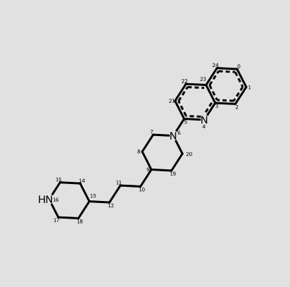 c1ccc2nc(N3CCC(CCCC4CCNCC4)CC3)ccc2c1